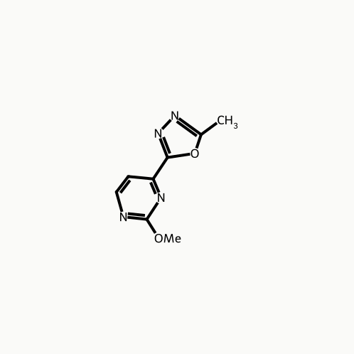 COc1nccc(-c2nnc(C)o2)n1